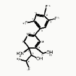 NC1(C(O)C(F)F)CN=C(c2cc(F)c(F)cc2F)C=C1CO